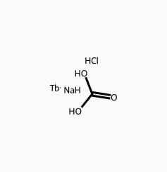 Cl.O=C(O)O.[NaH].[Tb]